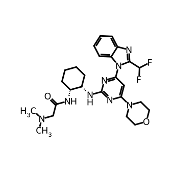 CN(C)CC(=O)N[C@@H]1CCCC[C@@H]1Nc1nc(N2CCOCC2)cc(-n2c(C(F)F)nc3ccccc32)n1